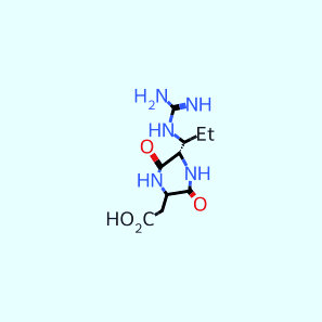 CCC(NC(=N)N)[C@@H]1NC(=O)C(CC(=O)O)NC1=O